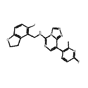 Cc1nc(F)ccc1-c1cnc(NCc2c(F)ccc3c2CCO3)n2cnnc12